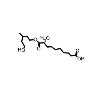 CC(CCO)CCOC(=O)CCCCCCCCC(=O)O.O